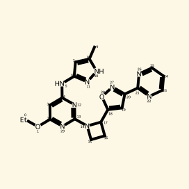 CCOc1cc(Nc2cc(C)[nH]n2)nc(N2CCC2c2cc(-c3ncccn3)no2)n1